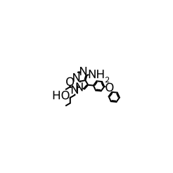 CCC(O)CN(C(C)=O)n1cc(-c2ccc(Oc3ccccc3)cc2)c2c(N)ncnc21